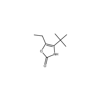 CCc1oc(=O)[nH]c1C(C)(C)C